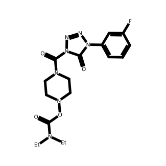 CCN(CC)C(=O)ON1CCN(C(=O)n2nnn(-c3cccc(F)c3)c2=O)CC1